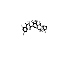 C[C@@H](NC(=O)c1cn2c(c(O)c1=O)C(=O)N1C3CC[C@@H](C3)O[C@H]1C2)c1ccc(F)cc1F